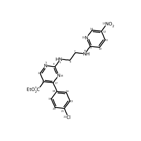 CCOC(=O)c1cnc(NCCNc2ccc([N+](=O)[O-])cn2)nc1-c1ccc(Cl)cc1